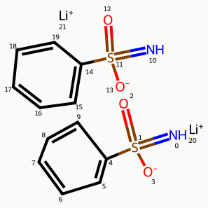 N=S(=O)([O-])c1ccccc1.N=S(=O)([O-])c1ccccc1.[Li+].[Li+]